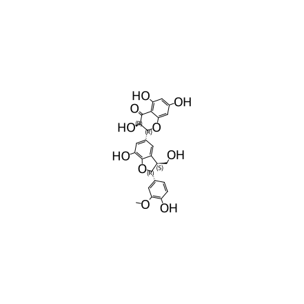 COc1cc([C@@H]2Oc3c(O)cc([C@H]4Oc5cc(O)cc(O)c5C(=O)[C@@H]4O)cc3[C@H]2CO)ccc1O